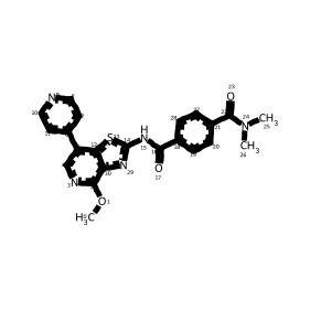 COc1ncc(-c2ccncc2)c2sc(NC(=O)c3ccc(C(=O)N(C)C)cc3)nc12